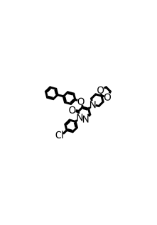 O=c1c(Oc2ccc(-c3ccccc3)cc2)c(N2CCC3(CC2)OCCO3)cnn1-c1ccc(Cl)cc1